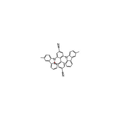 Cc1ccc2c(c1)c1ccccc1n2-c1cc(C#N)cc(-n2c3ccccc3c3cc(C)ccc32)c1-c1ccc(C#N)cc1F